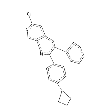 Clc1cc2cc(-c3ccccc3)c(-c3ccc(C4CCC4)cc3)nc2cn1